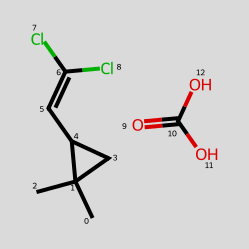 CC1(C)CC1C=C(Cl)Cl.O=C(O)O